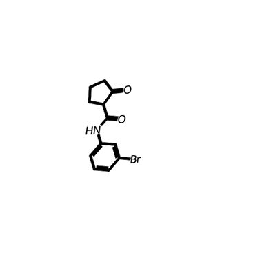 O=C1CCCC1C(=O)Nc1cccc(Br)c1